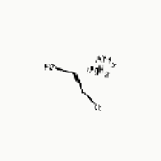 CCCCO.[AlH3].[MgH2]